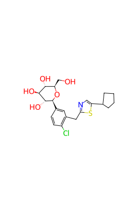 OC[C@H]1O[C@@H](c2ccc(Cl)c(Cc3ncc(C4CCCC4)s3)c2)[C@H](O)[C@@H](O)[C@@H]1O